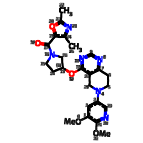 COc1cc(N2CCc3ncnc(O[C@H]4CCN(C(=O)c5oc(C)nc5C)C4)c3C2)cnc1OC